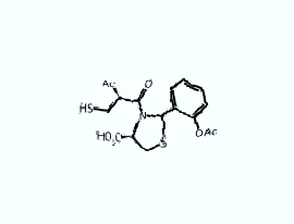 CC(=O)Oc1ccccc1C1SC[C@@H](C(=O)O)N1C(=O)[C@@H](CS)C(C)=O